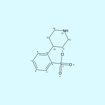 O=S(=O)(Cl)c1ccccc1C1CCNCC1